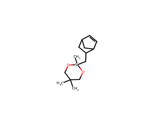 CC1(C)CO[Si](C)(CC2CC3C=CC2C3)OC1